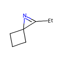 CCC1=NC12CCC2